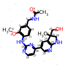 COc1cc(CNC(C)=O)ccc1Nc1nccc(-c2cnc3c(c2)C(C)(CO)CN3)n1